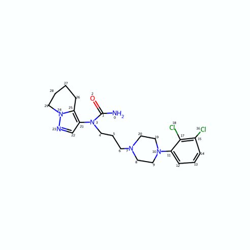 NC(=O)N(CCCN1CCN(c2cccc(Cl)c2Cl)CC1)c1cnn2c1CCCC2